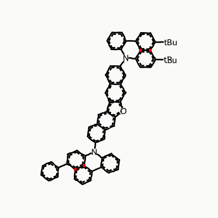 CC(C)(C)c1ccc(-c2ccccc2N(c2ccc(C(C)(C)C)cc2)c2ccc3cc4c(cc3c2)oc2cc3cc(N(c5ccc(-c6ccccc6)cc5)c5ccccc5-c5ccccc5)ccc3cc24)cc1